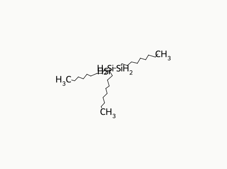 CCCCCCCCC[SiH2][SiH2][SiH](CCCCCCCCC)CCCCCCCCC